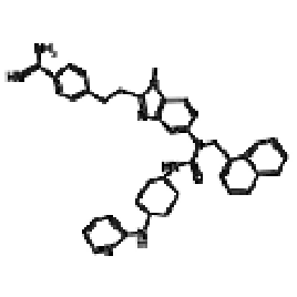 Cn1c(CCc2ccc(C(=N)N)cc2)nc2cc(N(Cc3cccc4ccccc34)C(=O)NC3CCC(Nc4ccccn4)CC3)ccc21